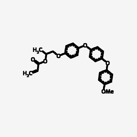 C=CC(=O)OC(C)COc1ccc(Oc2ccc(Oc3ccc(OC)cc3)cc2)cc1